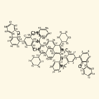 Cc1cc(-c2cccc3c2oc2ccccc23)cc(C)c1N(c1ccccc1)c1cc(C2CCCCC2)c2ccc3c(N(c4ccccc4)c4c(C)cc(-c5cccc6c5oc5ccccc56)cc4C)cc(C4CCCCC4)c4ccc1c2c43